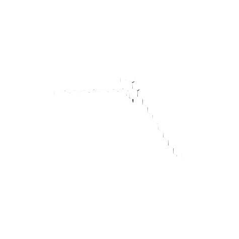 CCCCCCCCCCCCCCCC(C(N)=O)C(=O)C(CCCCCCCCCCCCCCC)C(=O)O